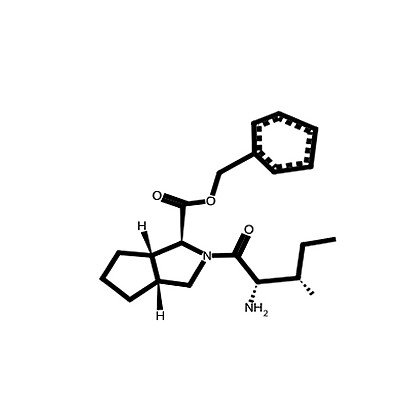 CC[C@H](C)[C@H](N)C(=O)N1C[C@@H]2CCC[C@@H]2[C@H]1C(=O)OCc1ccccc1